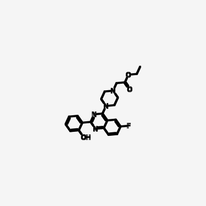 CCOC(=O)CN1CCN(c2nc(-c3ccccc3O)nc3ccc(F)cc23)CC1